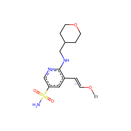 CCO/C=C/c1cc(S(N)(=O)=O)cnc1NCC1CCOCC1